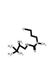 CN(CCCCl)C(=O)NCC(N)C(C)(C)C